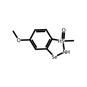 COc1ccc2c(c1)[Se]N[SH]2(C)=O